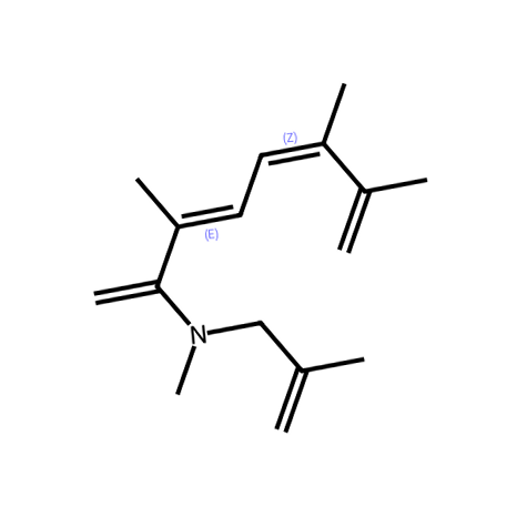 C=C(C)CN(C)C(=C)/C(C)=C/C=C(/C)C(=C)C